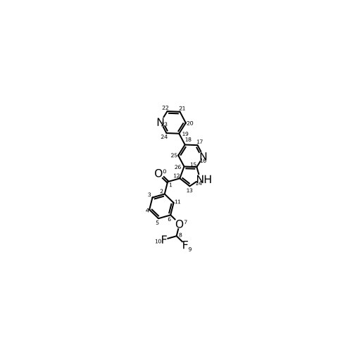 O=C(c1cccc(OC(F)F)c1)c1c[nH]c2ncc(-c3cccnc3)cc12